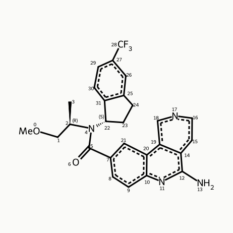 COC[C@@H](C)N(C(=O)c1ccc2nc(N)c3ccncc3c2c1)[C@H]1CCc2cc(C(F)(F)F)ccc21